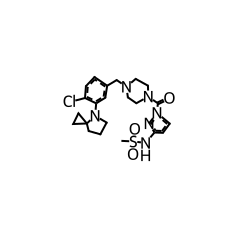 CS(=O)(=O)Nc1ccn(C(=O)N2CCN(Cc3ccc(Cl)c(N4CCCC45CC5)c3)CC2)n1